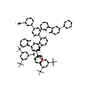 CC(C)(C)c1cc(-c2nc(-c3cc(C(C)(C)C)cc(C(C)(C)C)c3)nc(-c3ccc(-n4c5ccccc5c5cc(-c6ccccc6)ccc54)c(-c4ccc(-c5cccc(C#N)c5)cc4-n4c5ccccc5c5cc(-c6ccccc6)ccc54)c3)n2)cc(C(C)(C)C)c1